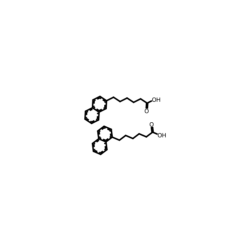 O=C(O)CCCCCc1ccc2ccccc2c1.O=C(O)CCCCCc1cccc2ccccc12